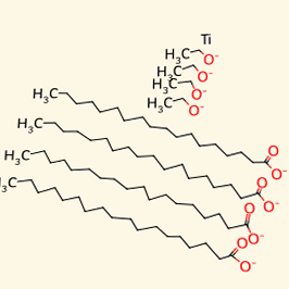 CCCCCCCCCCCCCCCCCC(=O)[O-].CCCCCCCCCCCCCCCCCC(=O)[O-].CCCCCCCCCCCCCCCCCC(=O)[O-].CCCCCCCCCCCCCCCCCC(=O)[O-].CC[O-].CC[O-].CC[O-].CC[O-].[Ti]